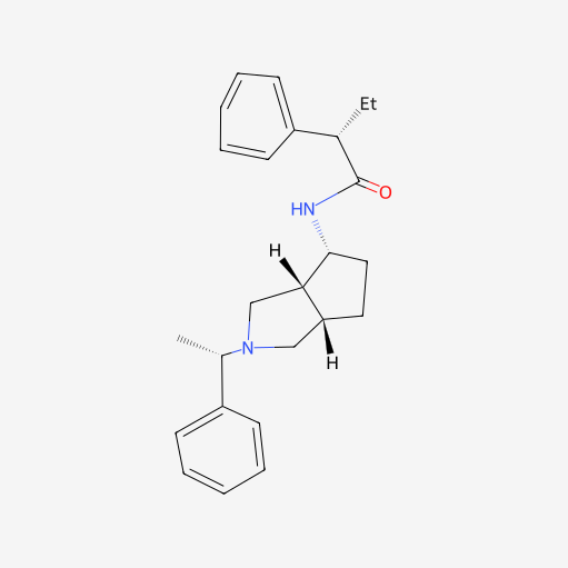 CC[C@H](C(=O)N[C@@H]1CC[C@@H]2CN([C@@H](C)c3ccccc3)C[C@@H]21)c1ccccc1